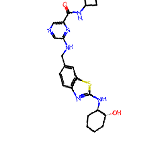 O=C(NC1CCC1)c1cncc(NCc2ccc3nc(N[C@@H]4CCCC[C@H]4O)sc3c2)n1